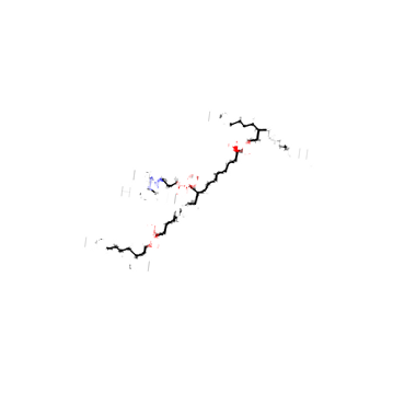 C=C=C=C=CC(CCCCC)CCOC(=O)CCCCCCCC(CCCCCCCC(=O)OCCC(C)CCCCC)C(=O)OCCCN(C)C(C)C